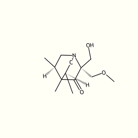 COC[C@]1(CO)C(=O)C2(C)[C@H](C)CN1C[C@@H]2C